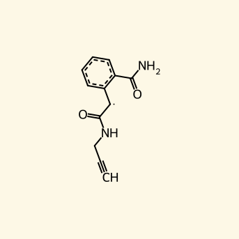 C#CCNC(=O)[CH]c1ccccc1C(N)=O